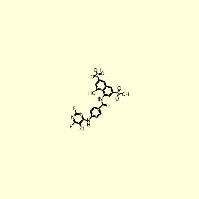 O=C(Nc1cc(S(=O)(=O)O)cc2cc(S(=O)(=O)O)cc(O)c12)c1ccc(Nc2nc(F)nc(F)c2Cl)cc1